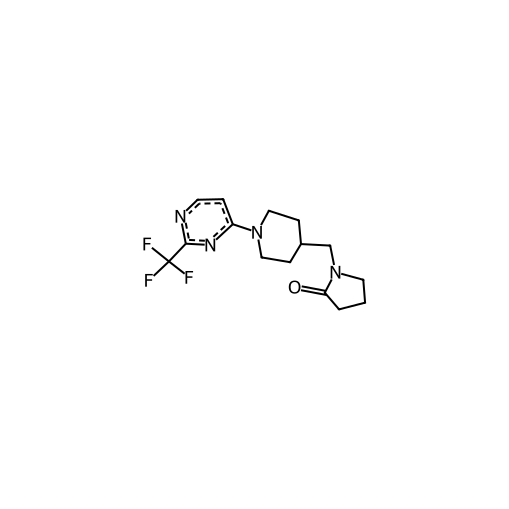 O=C1CCCN1CC1CCN(c2ccnc(C(F)(F)F)n2)CC1